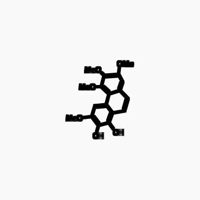 COc1cc2c(ccc3cc(OC)c(OC)c(OC)c32)c(O)c1O